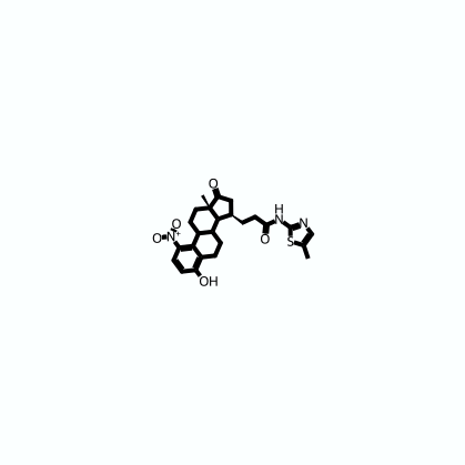 Cc1cnc(NC(=O)CC[C@@H]2CC(=O)[C@@]3(C)CCC4c5c([N+](=O)[O-])ccc(O)c5CCC4C23)s1